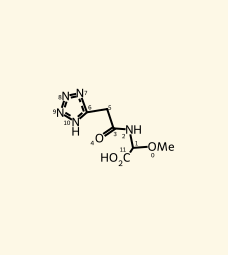 COC(NC(=O)Cc1nnn[nH]1)C(=O)O